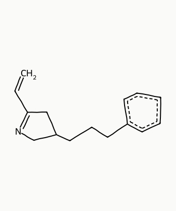 C=CC1=NCC(CCCc2ccccc2)C1